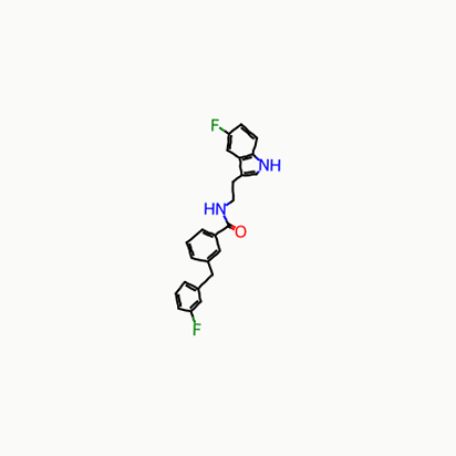 O=C(NCCc1c[nH]c2ccc(F)cc12)c1cccc(Cc2cccc(F)c2)c1